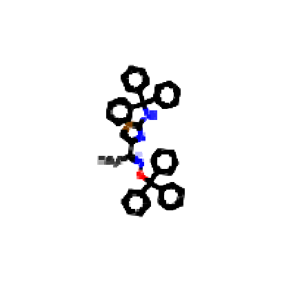 CCOC(=O)/C(=N\OC(c1ccccc1)(c1ccccc1)c1ccccc1)c1csc(NC(c2ccccc2)(c2ccccc2)c2ccccc2)n1